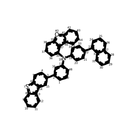 c1cc(-c2ccc3sc4ccccc4c3c2)cc(N(c2ccc(-c3cccc4ccccc34)cc2)c2cccc3oc4ccccc4c23)c1